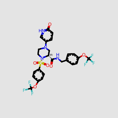 O=C(NCc1ccc(OC(F)(F)F)cc1)[C@H]1CN(c2ccc(=O)[nH]c2)CCN1S(=O)(=O)c1ccc(OC(F)(F)F)cc1